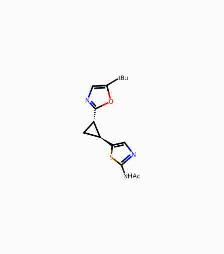 CC(=O)Nc1ncc([C@H]2C[C@@H]2c2ncc(C(C)(C)C)o2)s1